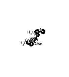 COc1ccc2c(c1S(=O)(=O)NC(=O)c1ccc3c(-c4ccccn4)ccc(C)c3n1)OC(C)(C)C2